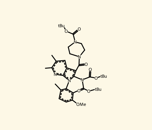 COc1ccc(C)c(-n2c(N(C(=O)OC(C)(C)C)C(=O)OC(C)(C)C)c(C(=O)N3CCN(C(=O)OC(C)(C)C)CC3)c3cc(C)c(C)nc32)c1C